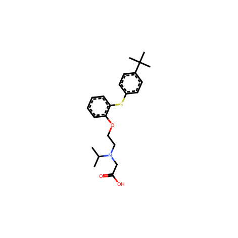 CC(C)N(CCOc1ccccc1Sc1ccc(C(C)(C)C)cc1)CC(=O)O